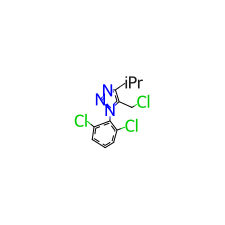 CC(C)c1nnn(-c2c(Cl)cccc2Cl)c1CCl